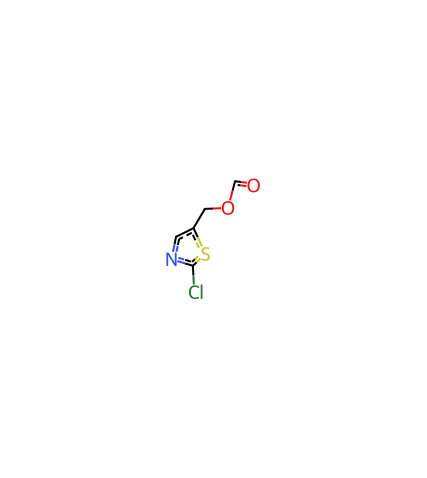 O=COCc1cnc(Cl)s1